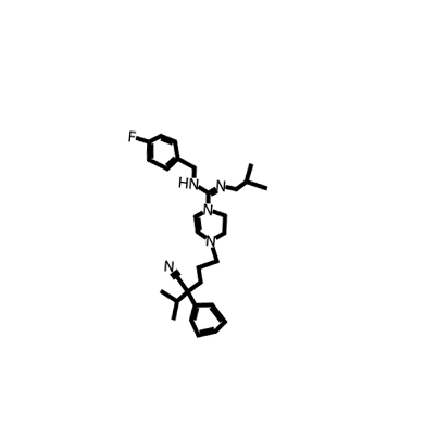 CC(C)CN=C(NCc1ccc(F)cc1)N1C=CN(CCCC(C#N)(c2ccccc2)C(C)C)CC1